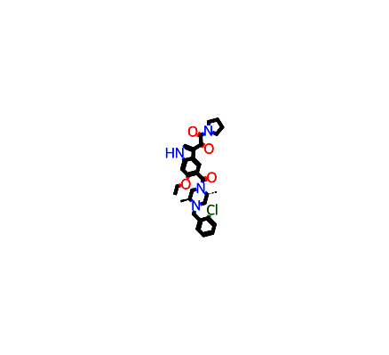 CCOc1cc2[nH]cc(C(=O)C(=O)N3CCCC3)c2cc1C(=O)N1C[C@H](C)N(Cc2ccccc2Cl)C[C@H]1C